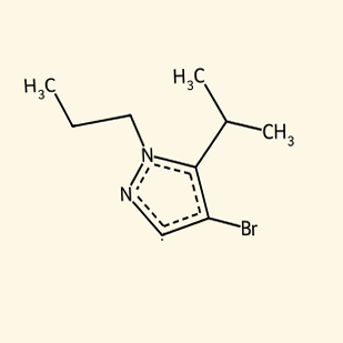 CCCn1n[c]c(Br)c1C(C)C